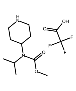 COC(=O)N(C(C)C)C1CCNCC1.O=C(O)C(F)(F)F